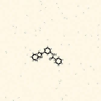 O=C(Nc1cccc(-c2cn3cccnc3n2)c1)c1ccccc1